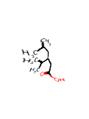 CC(C)C[C@@H](CC(=O)O)C(C)C